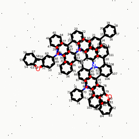 CC(C)(C)c1cc2c3c(c1)N(c1c(-c4cccc(-c5ccccc5)c4)cccc1-c1cccc(-c4ccccc4)c1)c1cc(N(c4ccccc4)c4ccc5oc6ccccc6c5c4)ccc1B3c1ccc(N(c3ccccc3)c3ccc4oc5ccccc5c4c3)cc1N2c1c(-c2cccc(-c3ccccc3)c2)cccc1-c1cccc(-c2ccccc2)c1